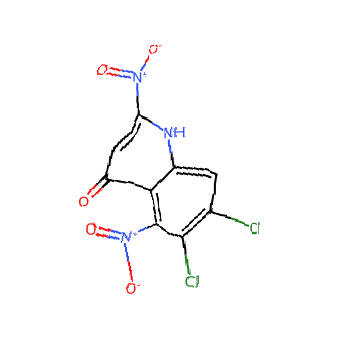 O=c1cc([N+](=O)[O-])[nH]c2cc(Cl)c(Cl)c([N+](=O)[O-])c12